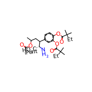 CCCC(C)C(=O)OC(C)CC(c1ccc(OC(=O)C(C)(C)CC)c(OC(=O)C(C)(C)CC)c1)[C@H](N)C(=O)O